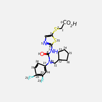 O=C(O)CSc1cnc(NC(=O)N(CC2CCCC2)c2ccc(F)c(F)c2)s1